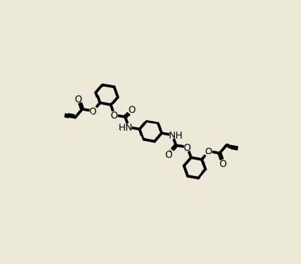 C=CC(=O)OC1CCCCC1OC(=O)NC1CCC(NC(=O)OC2CCCCC2OC(=O)C=C)CC1